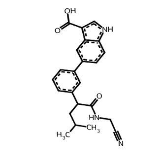 CC(C)CC(C(=O)NCC#N)c1cccc(-c2ccc3[nH]cc(C(=O)O)c3c2)c1